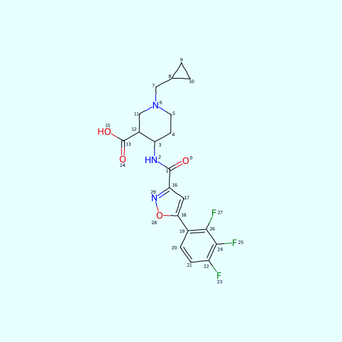 O=C(NC1CCN(CC2CC2)CC1C(=O)O)c1cc(-c2ccc(F)c(F)c2F)on1